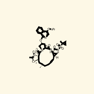 CCCOc1cnc(O[C@@H]2C[C@H]3C(=O)N[C@]4(C(=O)NS(=O)(=O)C5(C)CC5)C[C@H]4C=CCC[C@H](C)C[C@@H](C)[C@H](N(C(=O)O)[C@H](C)C(F)(F)F)C(=O)N3C2)c2ccccc12